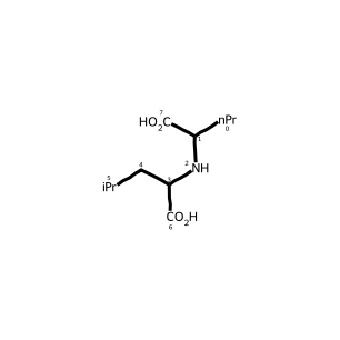 CCCC(NC(CC(C)C)C(=O)O)C(=O)O